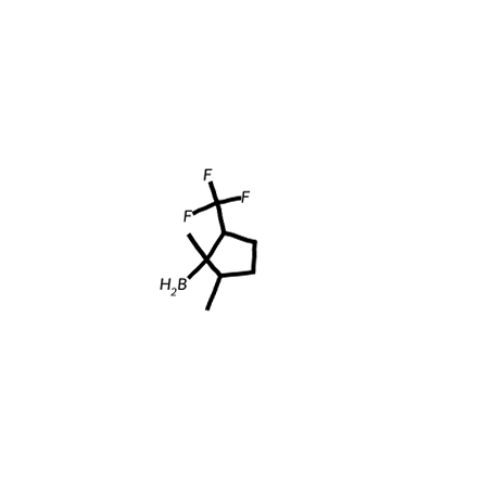 BC1(C)C(C)CCC1C(F)(F)F